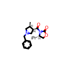 CC(C)[C@H]1COC(=O)N1C(=O)[C@H]1CN(Cc2ccccc2)C[C@H]1C